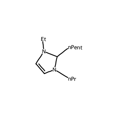 CCCCCC1N(CC)C=CN1CCC